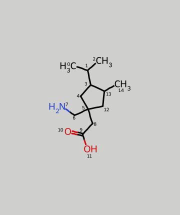 CC(C)C1CC(CN)(CC(=O)O)CC1C